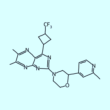 Cc1cc(C2CN(c3nc(C4CC(C(F)(F)F)C4)c4nc(C)c(C)nc4n3)CCO2)ccn1